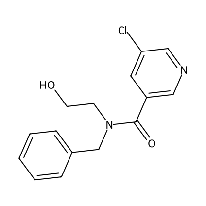 O=C(c1cncc(Cl)c1)N(CCO)Cc1ccccc1